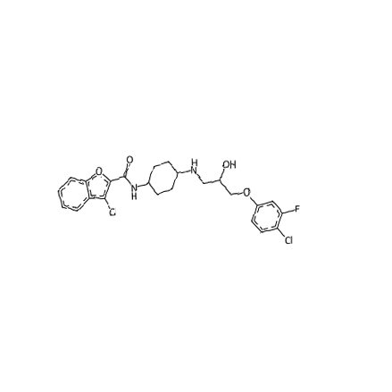 O=C(NC1CCC(NCC(O)COc2ccc(Cl)c(F)c2)CC1)c1oc2ccccc2c1Cl